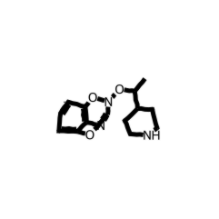 CC(ON1Oc2[c]ccc3oc1nc23)C1CCNCC1